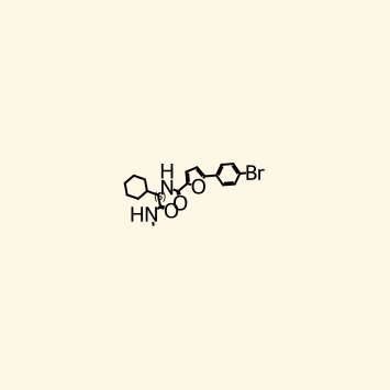 CNC(=O)[C@@H](NC(=O)c1ccc(-c2ccc(Br)cc2)o1)C1CCCCC1